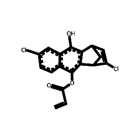 C=CC(=O)Oc1c2c(c(O)c3cc(Cl)ccc13)C1C=C(Cl)C2C1